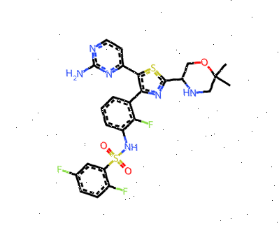 CC1(C)CNC(c2nc(-c3cccc(NS(=O)(=O)c4cc(F)ccc4F)c3F)c(-c3ccnc(N)n3)s2)CO1